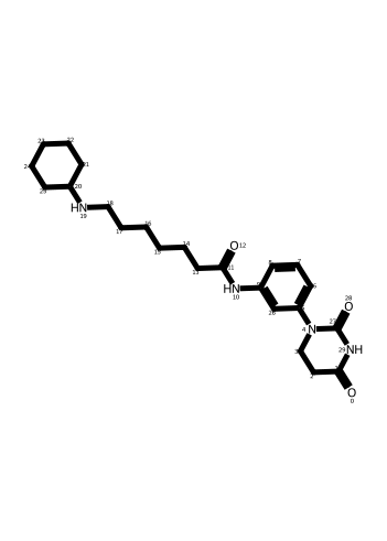 O=C1CCN(c2cccc(NC(=O)CCCCCCNC3CCCCC3)c2)C(=O)N1